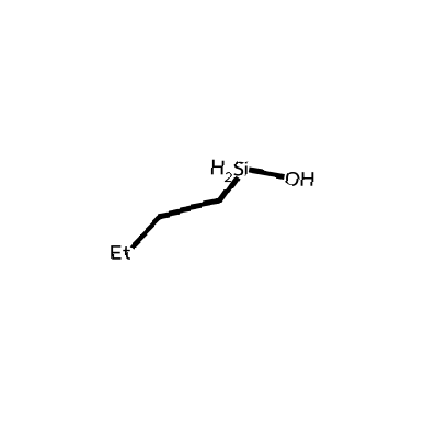 CCCC[SiH2]O